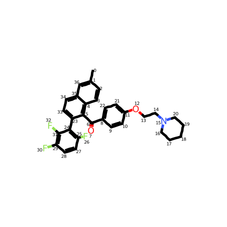 Cc1ccc2c(C(=O)c3ccc(OCCN4CCCCC4)cc3)c(-c3c(F)ccc(F)c3F)ccc2c1